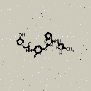 Cc1cc(Nc2nc(Sc3ccc(NC(=O)CN4CCC(O)C4)c(F)c3)nc3cccn23)n[nH]1